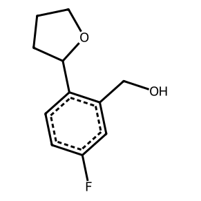 OCc1cc(F)ccc1C1CCCO1